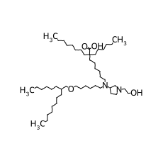 CCCCCCCCC(CCCCCC)COCCCCCCN(CCCCCCC(CCCCCC)(CCCCCCCC)C(=O)O)[C@@H]1CCN(CCO)C1